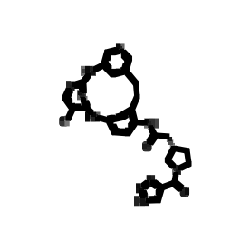 O=C(C[C@@H]1CCN(C(=O)c2c[nH]nn2)C1)Nc1ccc2cc1CCc1cncc(c1)Nc1ncc(Cl)c(n1)N2